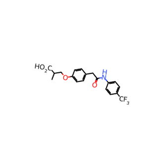 CC(COc1ccc(CC(=O)Nc2ccc(C(F)(F)F)cc2)cc1)C(=O)O